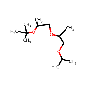 CC(C)OCC(C)OCC(C)OC(C)(C)C